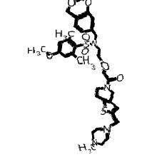 COc1cc(C)c(S(=O)(=O)N(CCOCC(=O)N2CCc3sc(CN4CCN(C)CC4)cc3C2)Cc2ccc3c(c2)OCOC3)c(C)c1